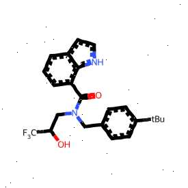 CC(C)(C)c1ccc(CN(CC(O)C(F)(F)F)C(=O)c2cccc3cc[nH]c23)cc1